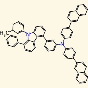 CC1C=C(n2c3cccc(-c4cccc(N(c5ccc(-c6ccc7ccccc7c6)cc5)c5ccc(-c6ccc7ccccc7c6)cc5)c4)c3c3cccc(-c4ccccc4)c32)C=CC1